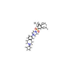 Cc1cc(S(=O)(=O)N2CCN(c3ccc4c(c3)CCN(C3CCCC3)CC4)CC2)cc(C)c1C